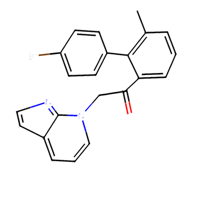 Cc1cccc(C(=O)Cn2cccc3ccnc2-3)c1-c1ccc(Br)cc1